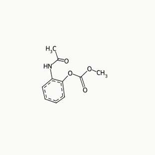 COC(=O)Oc1ccccc1NC(C)=O